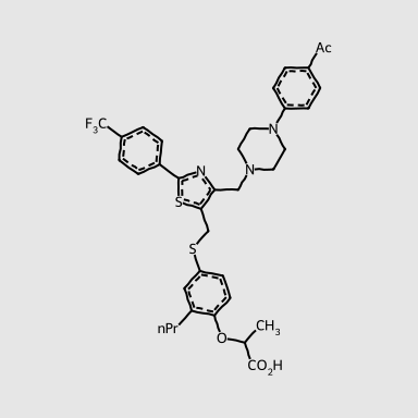 CCCc1cc(SCc2sc(-c3ccc(C(F)(F)F)cc3)nc2CN2CCN(c3ccc(C(C)=O)cc3)CC2)ccc1OC(C)C(=O)O